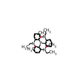 CCN(CC)c1ccccc1P(c1ccccc1N(CC)CC)c1ccccc1N(CC)CC